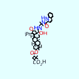 CC(C)C1=C2[C@H]3CC[C@@H]4[C@@]5(C)CC[C@H](OC(=O)[C@H]6C[C@@H](C(=O)O)C6(C)C)C(C)(C)[C@@H]5CC[C@@]4(C)[C@]3(C)CC[C@@]2([C@@H](O)CNCC(C)(C)NC(=O)c2ccc3ccccc3n2)CC1=O